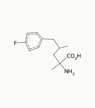 CC(Cc1ccc(F)cc1)CC(C)(N)C(=O)O